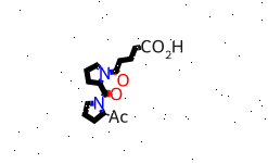 CC(=O)[C@@H]1CCCN1C(=O)C1CCCN1C(=O)CCCC(=O)O